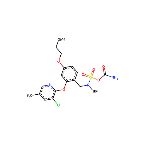 COCCOc1ccc(CN(C(C)(C)C)S(=O)(=O)OC(N)=O)c(Oc2ncc(C(F)(F)F)cc2Cl)c1